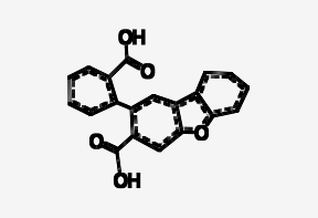 O=C(O)c1ccccc1-c1cc2c(cc1C(=O)O)oc1ccccc12